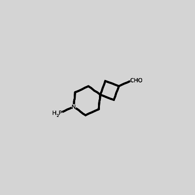 O=CC1CC2(CCN(P)CC2)C1